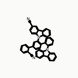 N#Cc1ccc2c(c1)c1ccccc1n2-c1cc(-c2ccccc2C#N)ccc1-c1ccccc1-n1c2ccccc2c2ccccc21